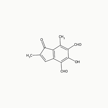 CC1=Cc2c(C=O)c(O)c(C=O)c(C)c2C1=O